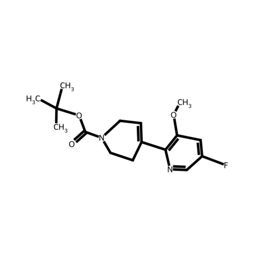 COc1cc(F)cnc1C1=CCN(C(=O)OC(C)(C)C)CC1